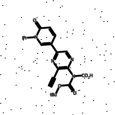 C#Cc1nc(-c2ccc(=O)n(C(C)C)c2)cnc1N(C(=O)O)C(=O)OC(C)(C)C